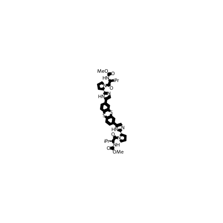 COC(=O)NC(C(=O)N1CCC[C@H]1c1ncc(-c2ccc3c(c2)Sc2cc(-c4cnc([C@@H]5CCCN5C(=O)[C@@H](NC(=O)OC)C(C)C)[nH]4)ccc2S3)[nH]1)C(C)C